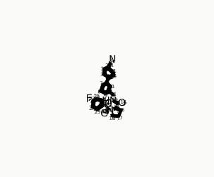 N#Cc1ccc(-c2cccc(CNC(=O)[C@@H]3CCCN3S(=O)(=O)c3ccc(F)cc3)c2)cc1